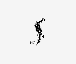 CC(C)CCC[C@@H](C)[C@H]1CC[C@H]2[C@@H]3CC=C4C[C@@H](OC(=O)NCCCCC(=O)O)CC[C@]4(C)[C@H]3CC[C@]12C